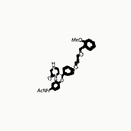 COc1ccccc1COCCCOc1ccc(C(Oc2ccc(NC(C)=O)cc2)[C@H]2CNCC(=O)N2)cc1